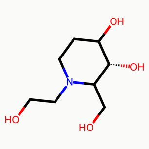 OCCN1CCC(O)[C@H](O)C1CO